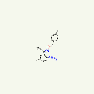 Cc1ccc(CO/N=C(/c2cc(C)ccc2N)C(C)C)cc1